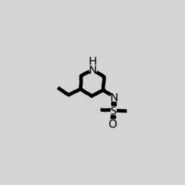 CCC1CNCC(N=S(C)(C)=O)C1